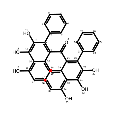 O=C(c1c(-c2ccccc2)c(O)c(O)c2c(O)cccc12)c1c(-c2ccccc2)c(O)c(O)c2c(O)cccc12